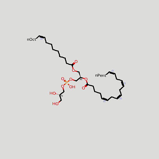 CCCCC/C=C\C/C=C\C/C=C\C/C=C\CCCC(=O)O[C@H](COC(=O)CCCCCCC/C=C\CCCCCCCC)COP(=O)(O)OC[C@@H](O)CO